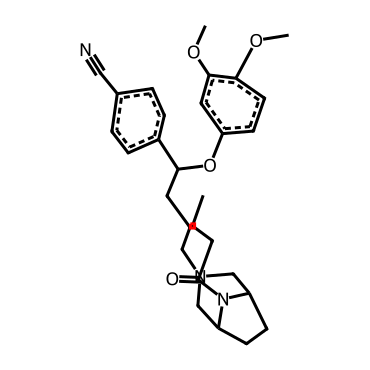 CCCC(=O)N1C2CCC1CN(CCCC(Oc1ccc(OC)c(OC)c1)c1ccc(C#N)cc1)C2